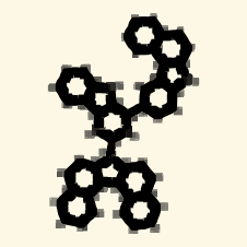 c1ccc2c(c1)ccc1oc3ccc(-c4nc(-n5c6ccc7ccccc7c6c6c7ccccc7ccc65)nc5c4oc4ccccc45)cc3c12